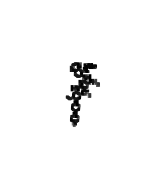 C=Cc1cc(Nc2ncc(P)c(Nc3ccc4nccnc4c3N(C)SC)n2)c(C(F)(F)F)cc1N1CCC(N2CCN(C)CC2)CC1